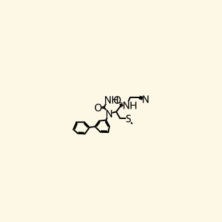 CSCC(C(=O)NCC#N)N(C(N)=O)c1cccc(-c2ccccc2)c1